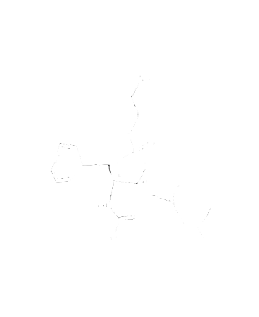 CC(C)CN(S)C[C@@H](OP(=O)(O)OCCN)[C@H](Cc1ccccc1)NC(=O)O